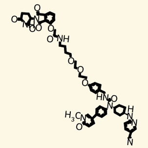 Cn1cc(-c2ccc(N(C(=O)NCc3ccc(OCCOCCOCCCCNC(=O)COc4cccc5c4C(=O)N(C4CCC(=O)NC4=O)C5=O)cc3)[C@H]3CC[C@H](Nc4ccc(C#N)cn4)CC3)cc2)ccc1=O